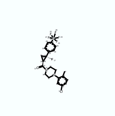 Cc1ccc(Cl)cc1N1CCN(C(=O)[C@H]2C[C@@]2(F)c2ccc(S(F)(F)(F)(F)F)cc2)CC1